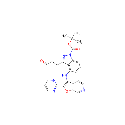 CC(C)(C)OC(=O)n1nc(CCC=O)c2c(Nc3c(-c4ncccn4)oc4cnccc34)cccc21